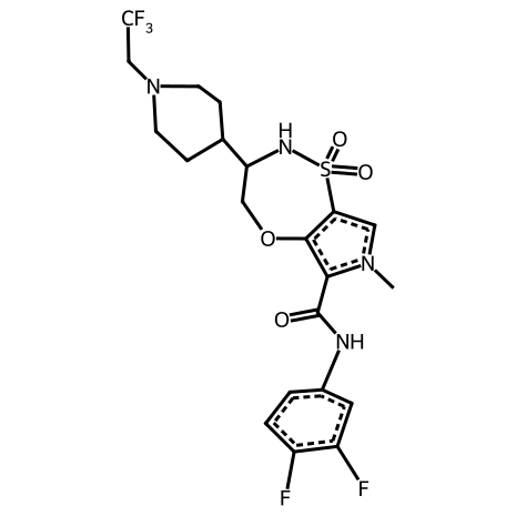 Cn1cc2c(c1C(=O)Nc1ccc(F)c(F)c1)OCC(C1CCN(CC(F)(F)F)CC1)NS2(=O)=O